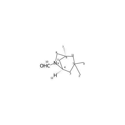 CC1(C)C[C@@H]2C[C@@](C)(CN2C=O)C1